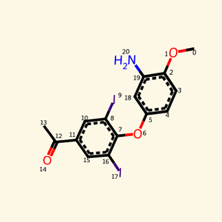 COc1ccc(Oc2c(I)cc(C(C)=O)cc2I)cc1N